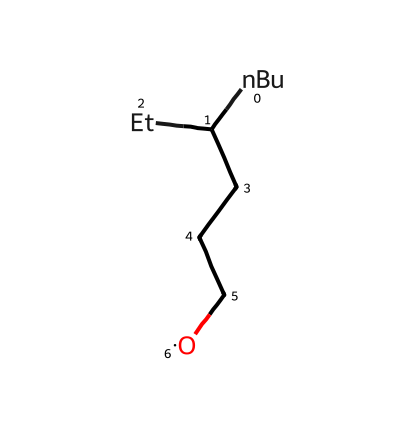 CCCCC(CC)CCC[O]